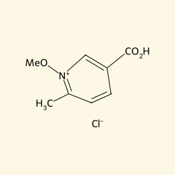 CO[n+]1cc(C(=O)O)ccc1C.[Cl-]